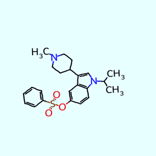 CC(C)n1cc(C2CCN(C)CC2)c2cc(OS(=O)(=O)c3ccccc3)ccc21